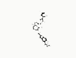 O=C(N[C@H]1CCC[C@H]2CC[C@@H](C(=O)N3CC(c4cncc(F)c4)C3)N2C1=O)c1cc2cc(C(F)P(=O)(O)O)ccc2s1